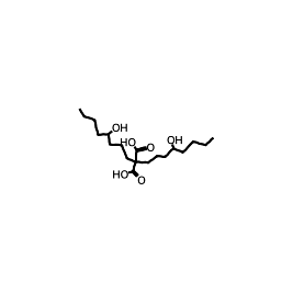 CCCCC(O)CCCC(CCCC(O)CCCC)(C(=O)O)C(=O)O